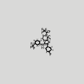 CC1(C)c2nc(-c3ccc(F)cc3)c(Nc3cccc(C(F)(F)F)c3)n2CCN1C(=O)C(F)(F)F